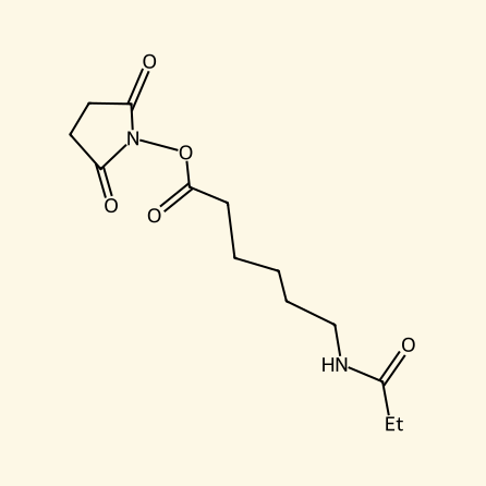 CCC(=O)NCCCCCC(=O)ON1C(=O)CCC1=O